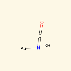 O=C=[N][Au].[KH]